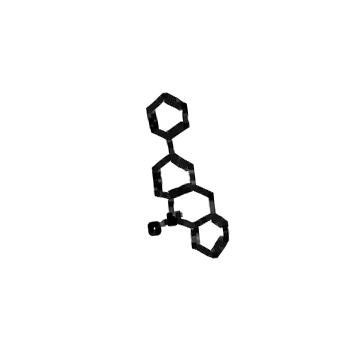 [O-][S+]1c2ccccc2Cc2cc(-c3ccccc3)ccc21